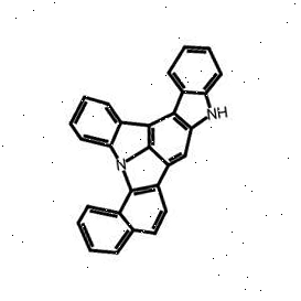 c1ccc2c(c1)ccc1c3cc4[nH]c5ccccc5c4c4c5ccccc5n(c21)c34